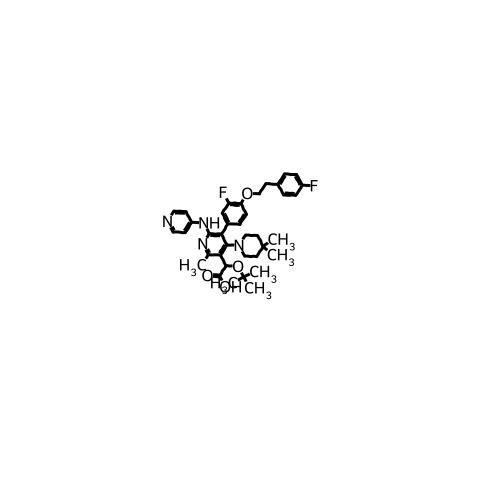 Cc1nc(Nc2ccncc2)c(-c2ccc(OCCc3ccc(F)cc3)c(F)c2)c(N2CCC(C)(C)CC2)c1C(OC(C)(C)C)C(=O)O